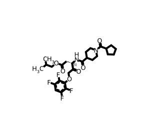 CC(C)COC(=O)C[C@H](NC(=O)C1CCN(C(=O)C2CCCC2)CC1)C(=O)COc1c(F)c(F)cc(F)c1F